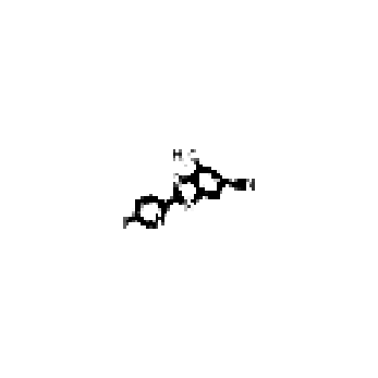 Cc1cc(C#N)cc2nc(-c3ccc(I)cn3)oc12